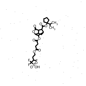 CC(C)C1(OC(=O)C2C3CC4C(OC(=O)C42)C3OC(=O)CCC(=O)OCCC(F)C(F)(F)S(=O)(=O)O)CCCC1